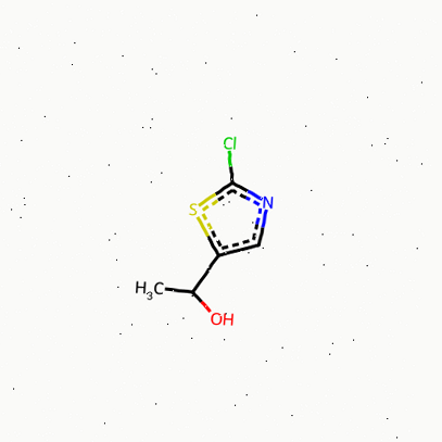 C[C](O)c1cnc(Cl)s1